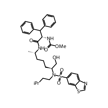 COC(=O)N[C@H](C(=O)N[C@@H](C)CCC[C@@H](CO)N(CCC(C)C)S(=O)(=O)c1ccc2ncsc2c1)C(c1ccccc1)c1ccccc1